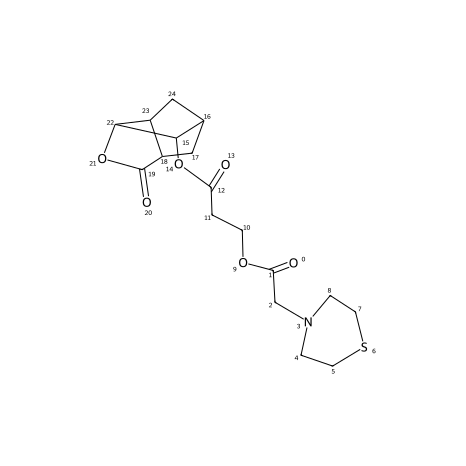 O=C(CN1CCSCC1)OCCC(=O)OC1C2CC3C(=O)OC1C3C2